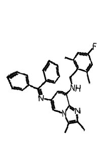 Cc1cc(F)cc(C)c1CNc1cc(N=C(c2ccccc2)c2ccccc2)cn2c(C)c(C)nc12